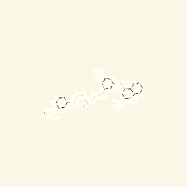 COc1cccc(C2CCN(CCOc3cc(Nc4cc(C)nc5ccccc45)cc(C(F)(F)F)c3)CC2)c1